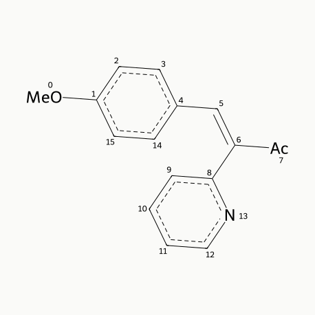 COc1ccc(C=C(C(C)=O)c2ccccn2)cc1